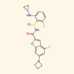 O=C(N[S+]([O-])c1c(F)cccc1NC1CC1)c1cc2c(F)cc(N3CCC3)cc2o1